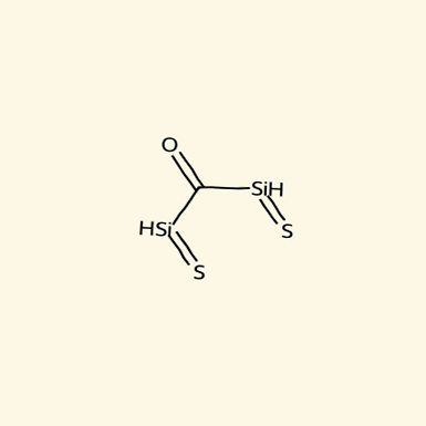 O=C([SiH]=S)[SiH]=S